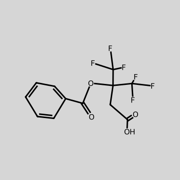 O=C(O)CC(OC(=O)c1ccccc1)(C(F)(F)F)C(F)(F)F